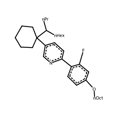 CCCCCCCCOc1ccc(-c2ccc(C3(C(CCC)CCCCCC)CCCCC3)cn2)c(F)c1